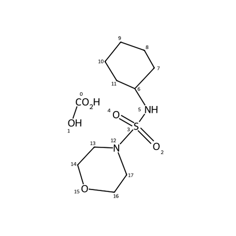 O=C(O)O.O=S(=O)(NC1CCCCC1)N1CCOCC1